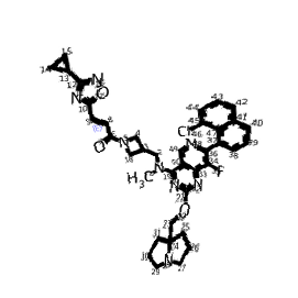 CN(CC1CN(C(=O)/C=C/c2nc(C3CC3)no2)C1)c1nc(OCC23CCCN2CCC3)nc2c(F)c(-c3cccc4cccc(Cl)c34)ncc12